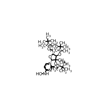 CC1(O[Si](C)(C)C(C)(C)C)C(O[Si](C)(C)C(C)(C)C)[C@@H](CO[Si](C)(C)C(C)(C)C)O[C@H]1n1ccc(NO)nc1=O